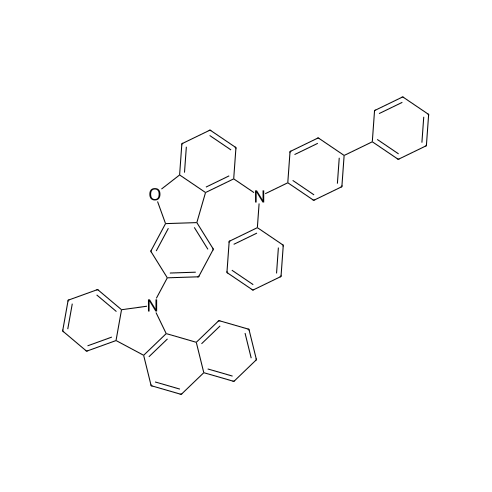 c1ccc(-c2ccc(N(c3ccccc3)c3cccc4oc5cc(-n6c7ccccc7c7ccc8ccccc8c76)ccc5c34)cc2)cc1